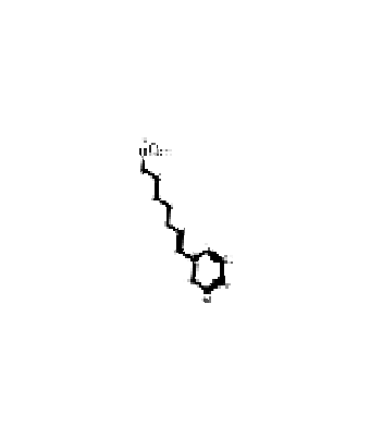 CCCCCCCCCCCCCC=Cc1[c]cccc1